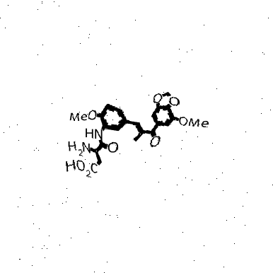 COc1ccc(C=C(C)C(=O)c2cc(OC)c3c(c2)OCO3)cc1NC(=O)C(N)CC(=O)O